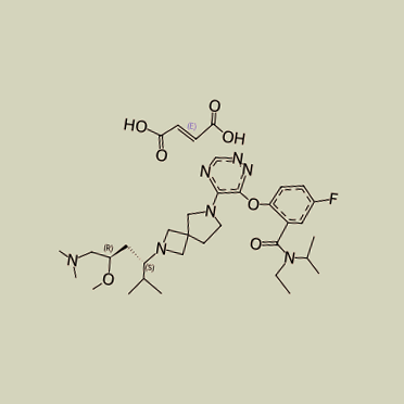 CCN(C(=O)c1cc(F)ccc1Oc1nncnc1N1CCC2(C1)CN([C@@H](C[C@H](CN(C)C)OC)C(C)C)C2)C(C)C.O=C(O)/C=C/C(=O)O